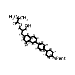 C=C(C)C(=O)OCC(CO)Cc1cc(CC)c2cc(-c3ccc(C4CCC(CCCCC)CC4)cc3)ccc2c1